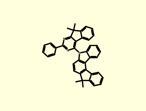 CC1(C)c2ccccc2-c2c1ccc1c2c2ccccc2n1-c1nc(-c2ccccc2)nc2c1-c1ccccc1C2(C)C